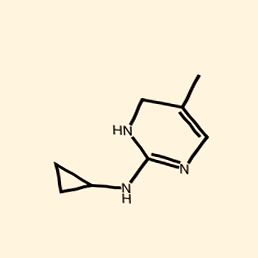 CC1=CN=C(NC2CC2)NC1